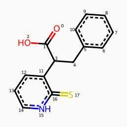 O=C(O)C(Cc1ccccc1)c1ccc[nH]c1=S